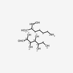 NCCCCC(NO)C(=O)O.O=CC(O)C(O)C(O)C(O)CO